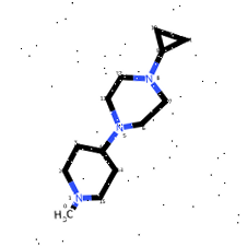 CN1CCC(N2CCN(C3CC3)CC2)CC1